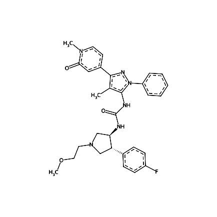 COCCN1C[C@@H](NC(=O)Nc2c(C)c(-c3ccn(C)c(=O)c3)nn2-c2ccccc2)[C@H](c2ccc(F)cc2)C1